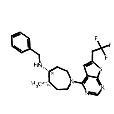 C[C@H]1CCN(c2ncnc3sc(CC(F)(F)F)cc23)CC[C@H]1NCc1ccccc1